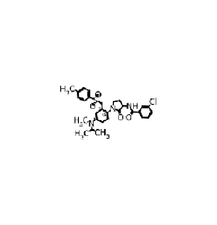 Cc1ccc(S(=O)(=O)C[C@@H]2C[C@H](N(C)C(C)C)CC[C@@H]2N2CCC(NC(=O)c3cccc(Cl)c3)C2=O)cc1